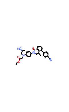 CCOC(=O)CN(CC(C)NC)c1ccc(N(C=O)/C=C(/C)c2c(C)cccc2-c2ccc(C#N)cc2)cc1